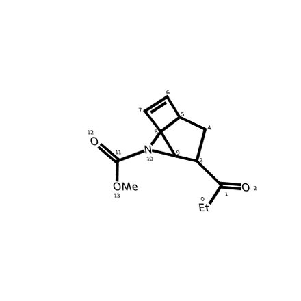 CCC(=O)C1CC2C=CC23C1N3C(=O)OC